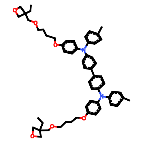 CCC1(COCCCCOc2ccc(N(c3ccc(C)cc3)c3ccc(-c4ccc(N(c5ccc(C)cc5)c5ccc(OCCCCOCC6(CC)COC6)cc5)cc4)cc3)cc2)COC1